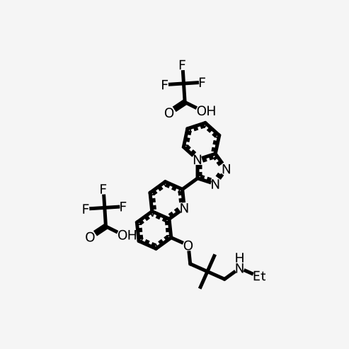 CCNCC(C)(C)COc1cccc2ccc(-c3nnc4ccccn34)nc12.O=C(O)C(F)(F)F.O=C(O)C(F)(F)F